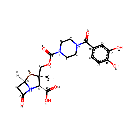 C[C@@]1(COC(=O)N2CCN(C(=O)c3ccc(O)c(O)c3)CC2)S[C@@H]2CC(=O)N2[C@H]1C(=O)O